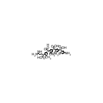 Cn1cc(N(C(=O)O)c2cc(N(C(=O)O)c3cc(N(C(=O)O)c4cc(N)cn4C)cn3C)cn2C)cc1N(CCC(=N)N)C(=O)O